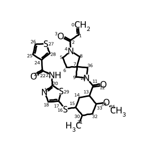 C=CC(=O)N1CCC2(C1)CN(C(=O)C1CC(Sc3cnc(NC(=O)c4ccsc4)s3)C(C)CC1OC)C2